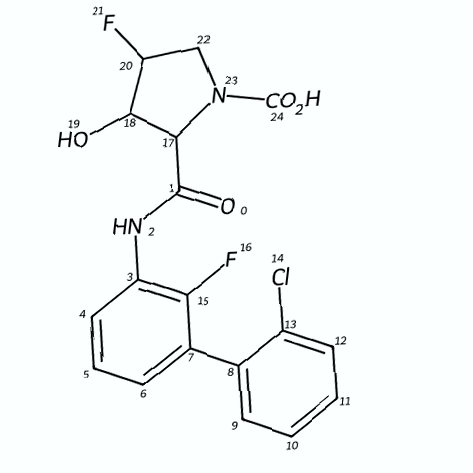 O=C(Nc1cccc(-c2ccccc2Cl)c1F)C1C(O)C(F)CN1C(=O)O